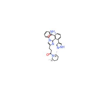 C[C@@H]1CCC[C@H](C)N1C(=O)CCc1cn(-c2ccccc2)c(-c2c(C(N)=O)cccc2-c2cn[nH]c2)n1